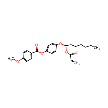 C=CC(=O)OC(CCCCCC)Oc1ccc(OC(=O)c2ccc(OC)cc2)cc1